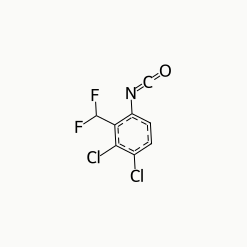 O=C=Nc1ccc(Cl)c(Cl)c1C(F)F